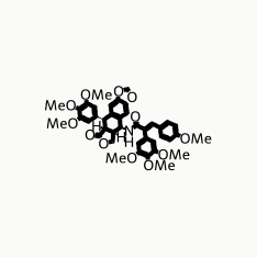 COc1ccc(/C=C(/C(=O)N[C@@H]2c3cc4c(cc3[C@@H](c3cc(OC)c(OC)c(OC)c3)[C@H]3C(=O)OC[C@@H]32)OCO4)c2cc(OC)c(OC)c(OC)c2)cc1